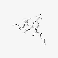 C=CCOC(=O)N1C[C@@H](C(C)(C)C)C[C@@]1(C=C(C)C(=O)OCC)O[SiH](C)C